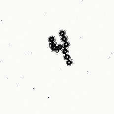 c1ccc(-c2ccc(-c3ccc(N(c4cccc(-c5ccc(-c6ccccc6)cc5)c4)c4ccc5c(c4)oc4ccc6nc(-c7ccccc7)sc6c45)cc3)cc2)cc1